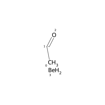 C[C]=O.[BeH2]